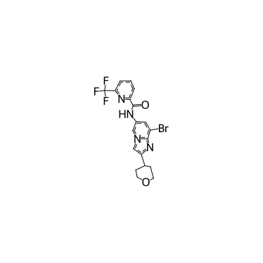 O=C(Nc1cc(Br)c2nc(C3CCOCC3)cn2c1)c1cccc(C(F)(F)F)n1